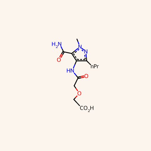 CCCc1nn(C)c(C(N)=O)c1NC(=O)COCC(=O)O